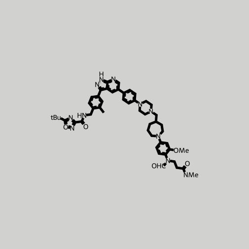 CNC(=O)CCN(C=O)c1ccc(N2CCCC(CN3CCN(c4ccc(-c5cnc6[nH]nc(-c7ccc(CNC(=O)c8noc(C(C)(C)C)n8)c(C)c7)c6c5)cc4)CC3)CC2)cc1OC